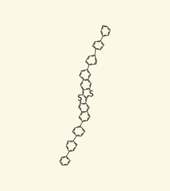 c1ccc(-c2ccc(-c3ccc(-c4ccc5cc6c(cc5c4)sc4c5cc7ccc(-c8ccc(-c9ccc(-c%10ccccc%10)cc9)cc8)cc7cc5sc64)cc3)cc2)cc1